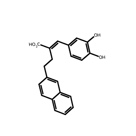 O=C(O)/C(=C/c1ccc(O)c(O)c1)CCc1ccc2ccccc2c1